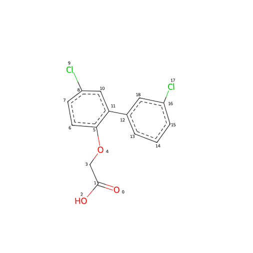 O=C(O)COc1ccc(Cl)cc1-c1cccc(Cl)c1